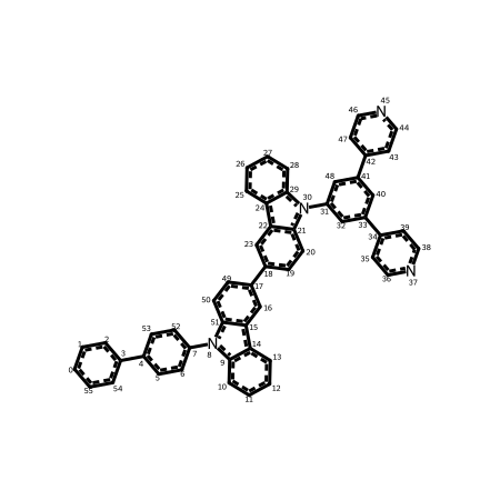 c1ccc(-c2ccc(-n3c4ccccc4c4cc(-c5ccc6c(c5)c5ccccc5n6-c5cc(-c6ccncc6)cc(-c6ccncc6)c5)ccc43)cc2)cc1